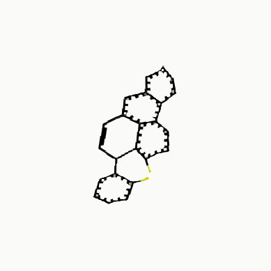 C1=CC2c3ccccc3Sc3ccc4c(c1cc1ccccc14)c32